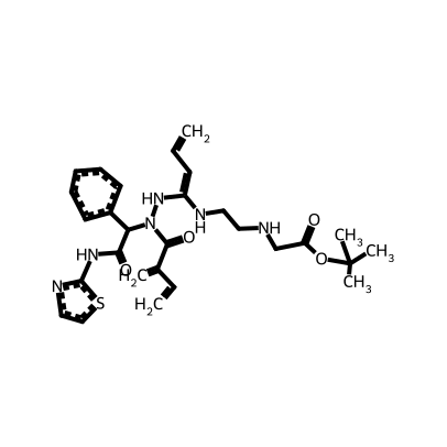 C=C/C=C(/NCCNCC(=O)OC(C)(C)C)NN(C(=O)C(=C)C=C)C(C(=O)Nc1nccs1)c1ccccc1